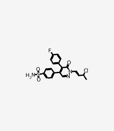 CC(Cl)C=Cn1ncc(-c2ccc(S(N)(=O)=O)cc2)c(-c2ccc(F)cc2)c1=O